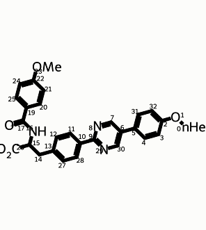 CCCCCCCOc1ccc(-c2cnc(-c3ccc(CC(NC(=O)c4ccc(OC)cc4)C(=O)O)cc3)nc2)cc1